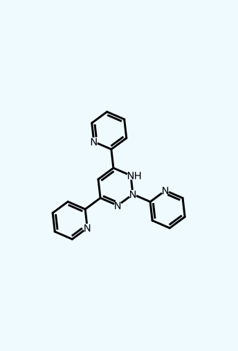 C1=C(c2ccccn2)NN(c2ccccn2)N=C1c1ccccn1